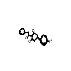 O=C(Cc1ccccc1)C1C(=O)CC(c2ccc(Cl)cc2)CC1=O